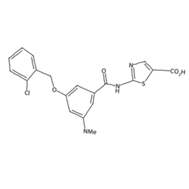 CNc1cc(OCc2ccccc2Cl)cc(C(=O)Nc2ncc(C(=O)O)s2)c1